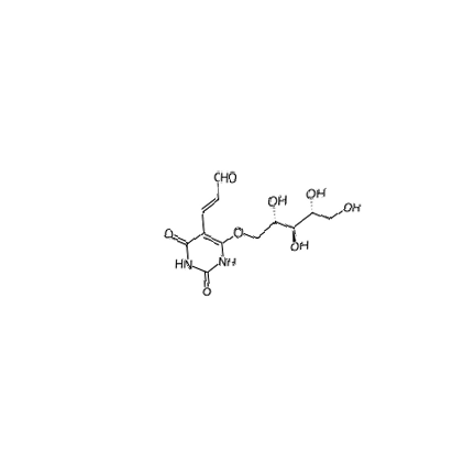 O=C/C=C/c1c(OC[C@H](O)[C@H](O)[C@H](O)CO)[nH]c(=O)[nH]c1=O